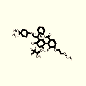 COCCOc1ccc(C(N)=O)c(-c2cc(C(CNC3CCC(C)(O)CC3)c3ccccc3)c(Cl)cc2Cl)c1F.O=C(O)C(F)(F)F